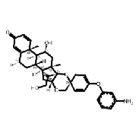 C[C@]12C=CC(=O)C=C1[C@@H](F)C[C@H]1[C@@H]3C[C@H]4OC[C@@]5(C=CC(Oc6cccc(N)c6)=CC5)O[C@@]4(C(=O)CO)[C@@]3(C)C[C@H](O)[C@@]12F